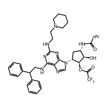 CCCC(=O)N[C@H]1C[C@@H](n2cnc3c(NCC(c4ccccc4)c4ccccc4)nc(NCCN4CCCCC4)nc32)[C@H](OC(=O)C(F)(F)F)[C@@H]1O